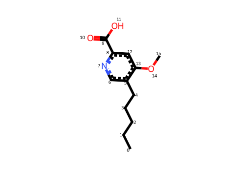 CCCCCc1cnc(C(=O)O)cc1OC